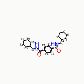 O=C(NCC1CCCCC1)c1ccc(C(=O)NCC2CCCCC2)cc1